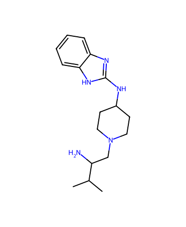 CC(C)C(N)CN1CCC(Nc2nc3ccccc3[nH]2)CC1